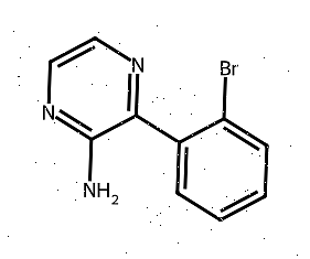 Nc1nccnc1-c1ccccc1Br